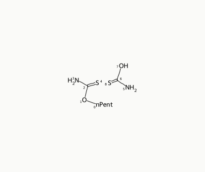 CCCCCOC(N)=S.NC(O)=S